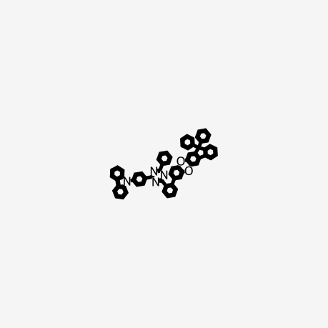 c1ccc(-c2nc(-c3ccc(-n4c5ccccc5c5ccccc54)cc3)nc(-c3ccccc3-c3ccc4c(c3)Oc3cc5c(cc3O4)C(c3ccccc3)(c3ccccc3)c3ccccc3-5)n2)cc1